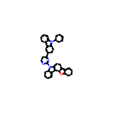 c1ccc(-n2c3ccccc3c3cc(-c4ccnc(-n5c6ccccc6c6c7oc8ccccc8c7ccc65)n4)ccc32)cc1